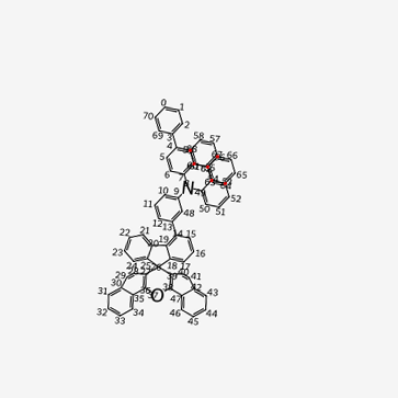 c1ccc(-c2ccc(N(c3cccc(-c4cccc5c4-c4ccccc4C54c5ccc6ccccc6c5Oc5c4ccc4ccccc54)c3)c3ccccc3-c3ccccc3)c(-c3ccccc3)c2)cc1